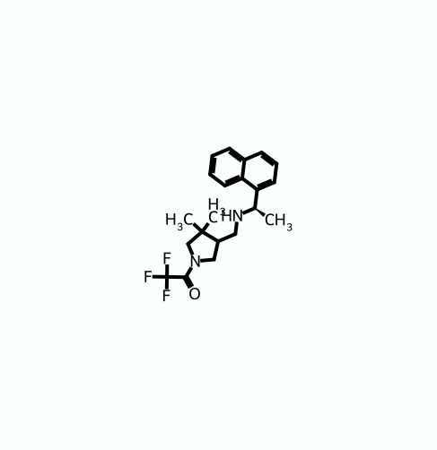 C[C@@H](NCC1CN(C(=O)C(F)(F)F)CC1(C)C)c1cccc2ccccc12